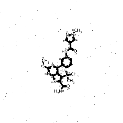 CSc1nc(-c2cccc(NC(=O)c3cnn(C)c3)c2)c2c(C(C)(C)C)c(C(N)=O)sc2n1